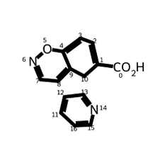 O=C(O)C1=CC=C2ON=CC=C2C1.c1ccncc1